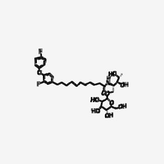 C[C@@H](O)[C@@H](O)[C@H](CO[C@H]1OC(CO)[C@H](O)C(O)C1O)NC(=O)CCCCCCCCCCc1ccc(Oc2ccc(F)cc2)c(F)c1